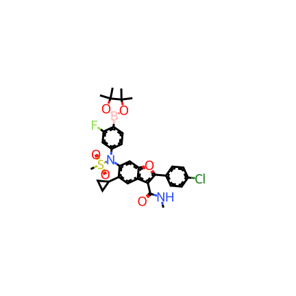 CNC(=O)c1c(-c2ccc(Cl)cc2)oc2cc(N(c3ccc(B4OC(C)(C)C(C)(C)O4)c(F)c3)S(C)(=O)=O)c(C3CC3)cc12